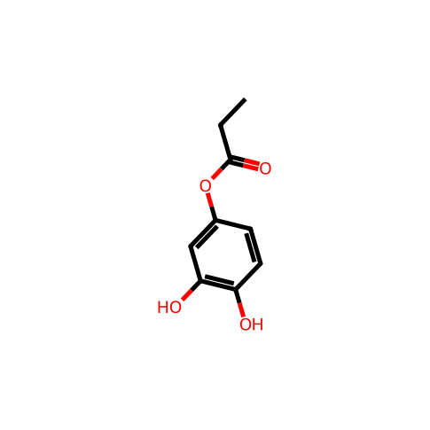 CCC(=O)Oc1ccc(O)c(O)c1